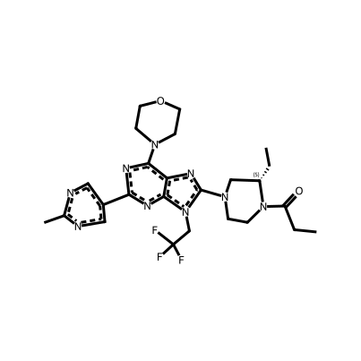 CCC(=O)N1CCN(c2nc3c(N4CCOCC4)nc(-c4cnc(C)nc4)nc3n2CC(F)(F)F)C[C@@H]1CC